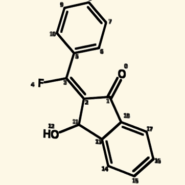 O=C1/C(=C(/F)c2ccccc2)C(O)c2ccccc21